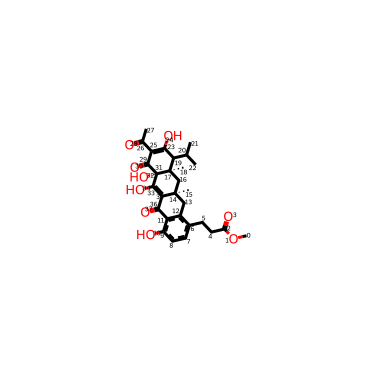 COC(=O)CCc1ccc(O)c2c1C[C@]1(C)C[C@]3(C)C(C(C)C)C(O)=C(C(C)=O)C(=O)[C@]3(O)C(O)=C1C2=O